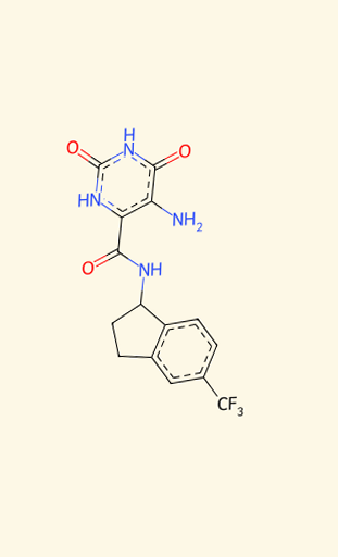 Nc1c(C(=O)NC2CCc3cc(C(F)(F)F)ccc32)[nH]c(=O)[nH]c1=O